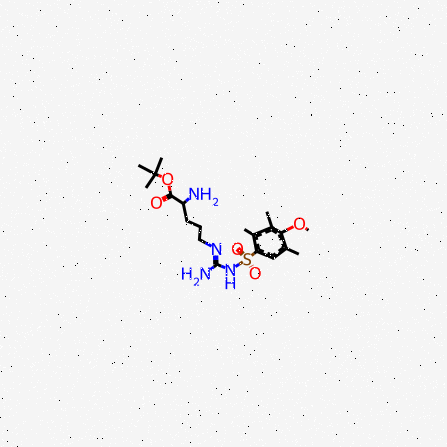 COc1c(C)cc(S(=O)(=O)NC(N)=NCCCC(N)C(=O)OC(C)(C)C)c(C)c1C